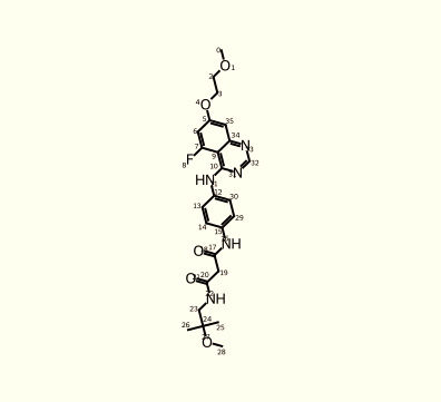 COCCOc1cc(F)c2c(Nc3ccc(NC(=O)CC(=O)NCC(C)(C)OC)cc3)ncnc2c1